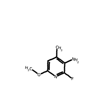 COc1cc(C)c(N)c(F)n1